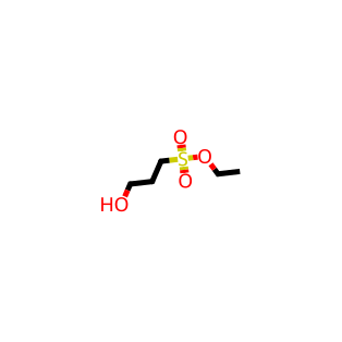 CCOS(=O)(=O)CCCO